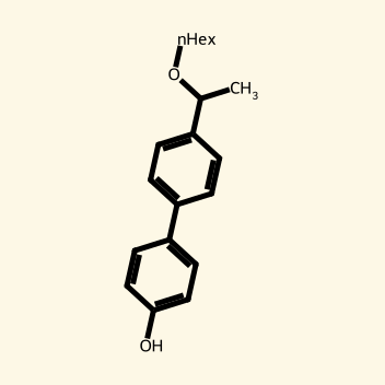 CCCCCCOC(C)c1ccc(-c2ccc(O)cc2)cc1